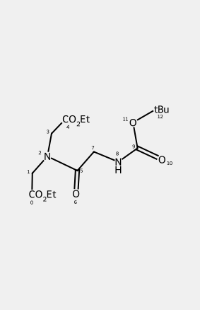 CCOC(=O)CN(CC(=O)OCC)C(=O)CNC(=O)OC(C)(C)C